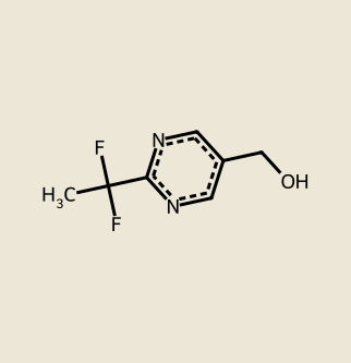 CC(F)(F)c1ncc(CO)cn1